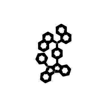 c1ccc(-n2c3ccccc3n3c4ccccc4c(-c4ccc(N(c5cccc6ccccc56)c5cccc6ccccc56)cc4)c23)cc1